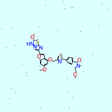 COCCN(C)C(=O)c1ccc(-c2nc(COc3cc(OC)cc4oc(-c5cn6c(n5)SC(OC)N6)cc34)cs2)cc1